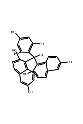 CC(c1c(O)cc(O)cc1O)(c1c(O)ccc2cc(O)ccc12)c1c(O)ccc2cc(O)ccc12